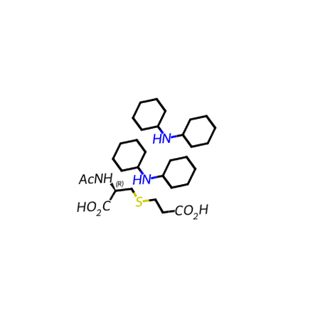 C1CCC(NC2CCCCC2)CC1.C1CCC(NC2CCCCC2)CC1.CC(=O)N[C@@H](CSCCC(=O)O)C(=O)O